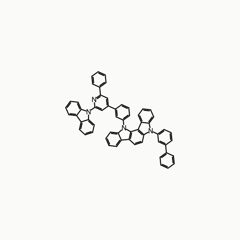 c1ccc(-c2cccc(-n3c4ccccc4c4c3ccc3c5ccccc5n(-c5cccc(-c6cc(-c7ccccc7)nc(-n7c8ccccc8c8ccccc87)c6)c5)c34)c2)cc1